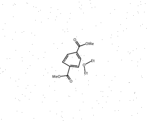 CCOCC.COC(=O)c1ccc(C(=O)OC)cc1